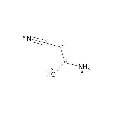 N#CCC(N)O